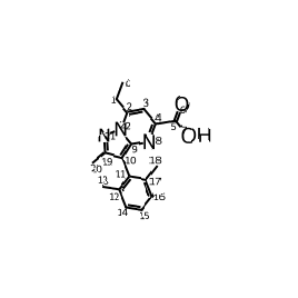 CCc1cc(C(=O)O)nc2c(-c3c(C)cccc3C)c(C)nn12